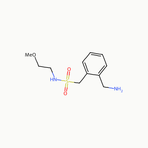 COCCNS(=O)(=O)Cc1ccccc1CN